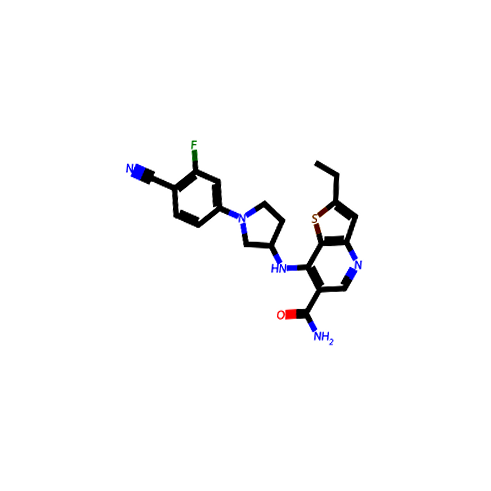 CCc1cc2ncc(C(N)=O)c(NC3CCN(c4ccc(C#N)c(F)c4)C3)c2s1